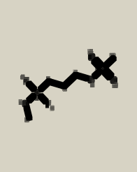 CO[Si](F)(F)CCCOS(C)(=O)=O